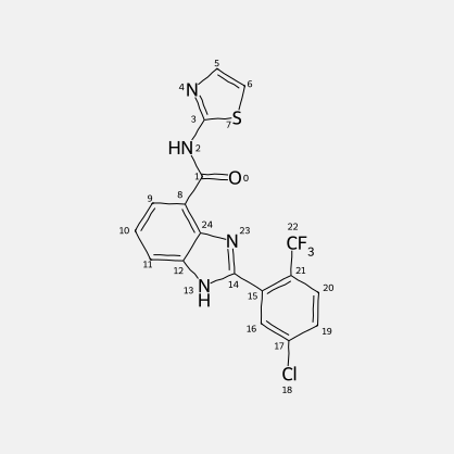 O=C(Nc1nccs1)c1cccc2[nH]c(-c3cc(Cl)ccc3C(F)(F)F)nc12